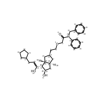 O=C(COCC[C@H]1C[C@H]2C[C@@H](O)[C@H](C(O)=CCC3CCCC3)[C@@H]2C1)N(Cc1ccccc1)c1ccccc1